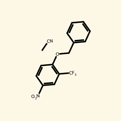 CC#N.O=[N+]([O-])c1ccc(OCc2ccccc2)c(C(F)(F)F)c1